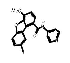 COc1ccc(C(=O)Nc2ccncc2)c2c1oc1ccc(I)cc12